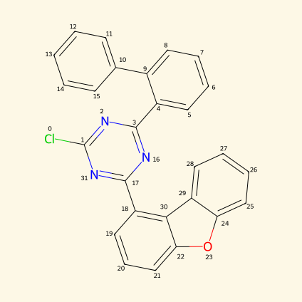 Clc1nc(-c2ccccc2-c2ccccc2)nc(-c2cccc3oc4ccccc4c23)n1